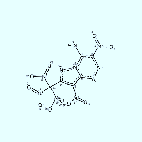 Nc1c([N+](=O)[O-])nnc2c([N+](=O)[O-])c(C([N+](=O)[O-])([N+](=O)[O-])[N+](=O)[O-])nn12